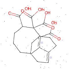 O=C(O)/C1=C(\C2=C/CCCCCC2)CCCCC(C(=O)O)C1(C(=O)O)C(=O)O